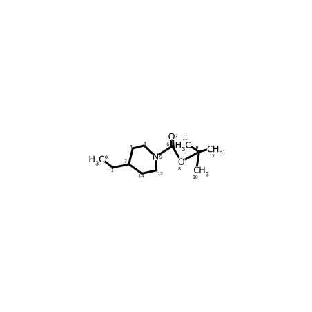 C[CH]C1CCN(C(=O)OC(C)(C)C)CC1